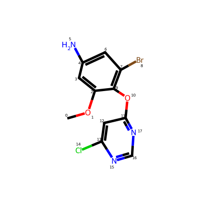 COc1cc(N)cc(Br)c1Oc1cc(Cl)ncn1